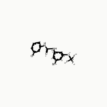 O=C(Nc1cccc(Cl)c1)Nc1cc(Br)cc(OC(F)(F)F)c1